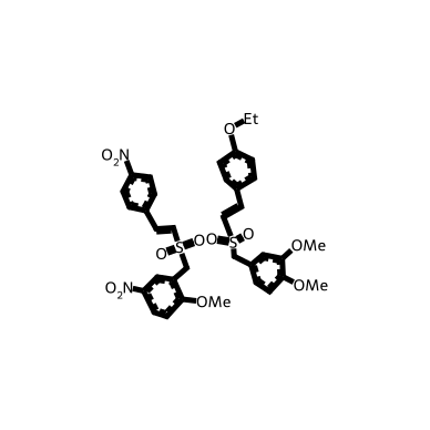 CCOc1ccc(C=CS(=O)(=O)Cc2ccc(OC)c(OC)c2)cc1.COc1ccc([N+](=O)[O-])cc1CS(=O)(=O)C=Cc1ccc([N+](=O)[O-])cc1